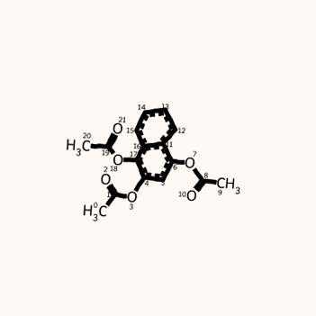 CC(=O)Oc1cc(OC(C)=O)c2ccccc2c1OC(C)=O